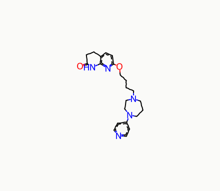 O=C1CCc2ccc(OCCCCN3CCCN(c4ccncc4)CC3)nc2N1